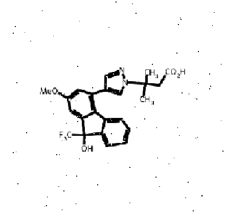 COc1cc(-c2cnn(C(C)(C)CC(=O)O)c2)c2c(c1)C(O)(C(F)(F)F)c1ccccc1-2